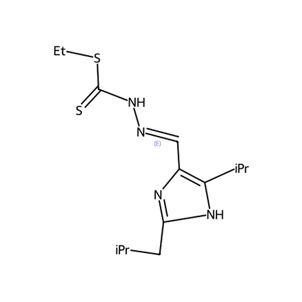 CCSC(=S)N/N=C/c1nc(CC(C)C)[nH]c1C(C)C